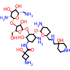 NC[C@@H]1O[C@H](O[C@H]2[C@@H](O)[C@H](O[C@@H]3[C@@H](O)[C@H](NC(=O)C4(O)CC(N)C4)C[C@H](N)[C@H]3O[C@H]3O[C@H](CNCC4(O)CCNCC4)CC[C@H]3N)O[C@@H]2CO)[C@H](N)[C@@H](O)[C@@H]1O